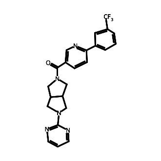 O=C(c1ccc(-c2cccc(C(F)(F)F)c2)nc1)N1CC2CN(c3ncccn3)CC2C1